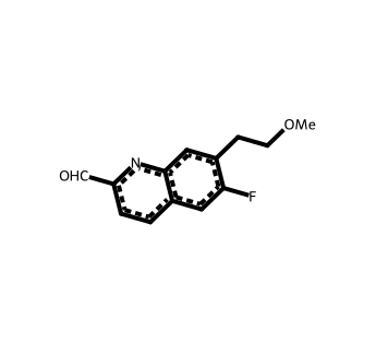 COCCc1cc2nc(C=O)ccc2cc1F